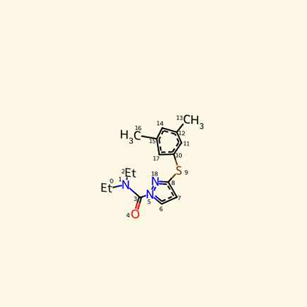 CCN(CC)C(=O)n1ccc(Sc2cc(C)cc(C)c2)n1